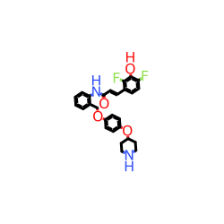 O=C(C=Cc1ccc(F)c(O)c1F)Nc1ccccc1COc1ccc(OC2CCNCC2)cc1